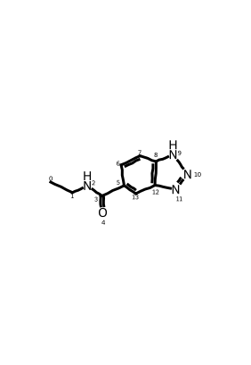 CCNC(=O)c1ccc2[nH]nnc2c1